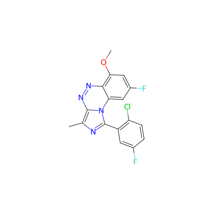 COc1cc(F)cc2c1nnc1c(C)nc(-c3cc(F)ccc3Cl)n12